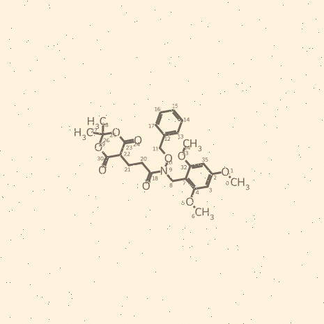 COc1cc(OC)c(CN(OCc2ccccc2)C(=O)CCC2C(=O)OC(C)(C)OC2=O)c(OC)c1